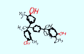 Cc1cc(C(C)(C)c2ccc(C(C)(c3ccc(O)c(C)c3)c3ccc(O)c(C)c3)cc2)ccc1O